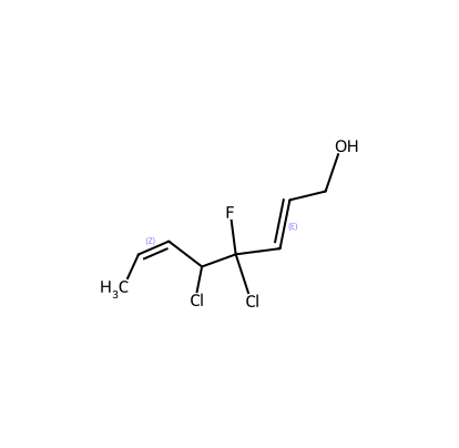 C/C=C\C(Cl)C(F)(Cl)/C=C/CO